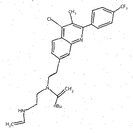 C=CNCCN(CCc1ccc2c(Cl)c(C)c(-c3ccc(C(F)(F)F)cc3)nc2c1)C(=C)CCCC